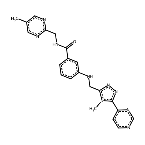 Cc1cnc(CNC(=O)c2cccc(NCc3nnc(-c4ccncn4)n3C)c2)nc1